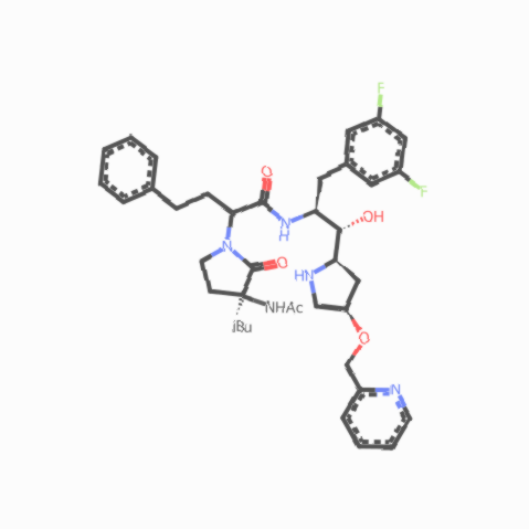 CC[C@@H](C)C1(NC(C)=O)CCN(C(CCc2ccccc2)C(=O)N[C@@H](Cc2cc(F)cc(F)c2)[C@H](O)[C@H]2C[C@@H](OCc3ccccn3)CN2)C1=O